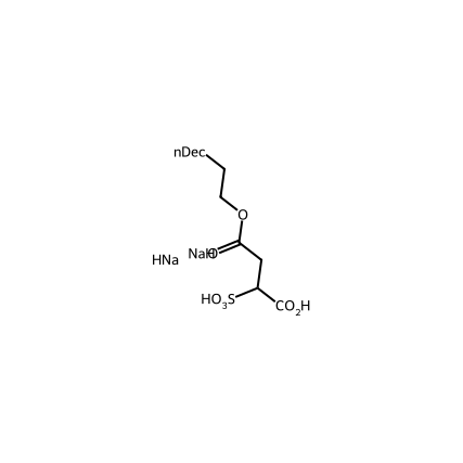 CCCCCCCCCCCCOC(=O)CC(C(=O)O)S(=O)(=O)O.[NaH].[NaH]